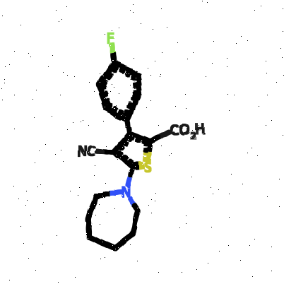 N#Cc1c(N2CCCCCC2)sc(C(=O)O)c1-c1ccc(F)cc1